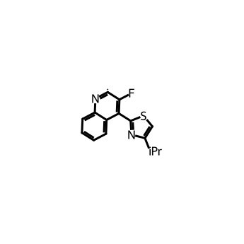 CC(C)c1csc(-c2c(F)[c]nc3ccccc23)n1